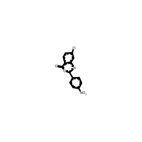 O=c1oc(-c2ccc([N+](=O)[O-])cc2)nc2cc(Cl)ccc12